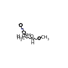 C=C(CCCC(=O)NCCc1ccc(C)cc1)NC1(C)C=CC(/C=C/c2ccccc2)=CC1